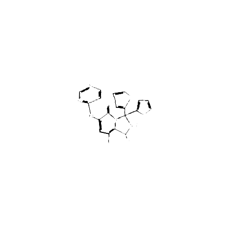 O=c1c(Nc2ccncn2)cc(Cl)c2n1C(c1cccs1)(c1cccs1)NC2O